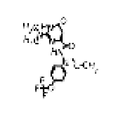 COC[C@@H](NC(=O)c1cc(=O)[nH]c(N(C)C)n1)c1ccc(OC(F)(F)F)cc1